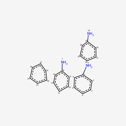 Nc1ccccc1.Nc1ccccc1.Nc1ccccc1.c1ccccc1